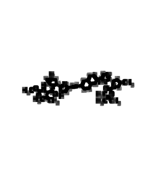 C=C(C)[C@H](NC(=O)OC)C(=O)N1C2C[C@@H]2C[C@H]1c1nc(C#Cc2ccc3cc(-c4cnc([C@@H]5C[C@@H](C)CN5C(=O)OC(C)(C)C)[nH]4)ccc3c2)c[nH]1